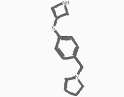 c1cc(SC2CNC2)ccc1CN1CCCC1